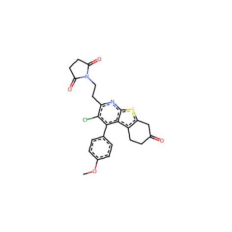 COc1ccc(-c2c(Cl)c(CCN3C(=O)CCC3=O)nc3sc4c(c23)CCC(=O)C4)cc1